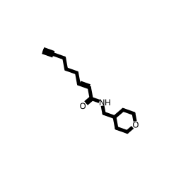 C#CCCCC=CC(=O)NCC1CCOCC1